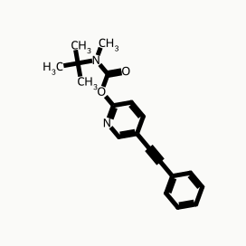 CN(C(=O)Oc1ccc(C#Cc2ccccc2)cn1)C(C)(C)C